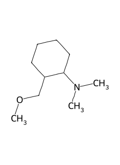 COCC1CCCCC1N(C)C